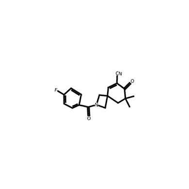 CC1(C)CC2(C=C(C#N)C1=O)CN(C(=O)c1ccc(F)cc1)C2